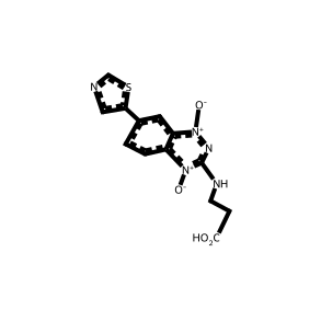 O=C(O)CCNc1n[n+]([O-])c2cc(-c3cncs3)ccc2[n+]1[O-]